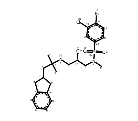 CN(C[C@H](O)CNC(C)(C)CC1Cc2ccccc2C1)S(=O)(=O)c1ccc(Br)c(Cl)c1